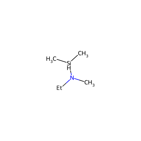 CCN(C)[SiH](C)C